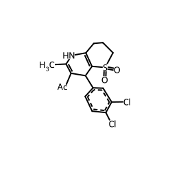 CC(=O)C1=C(C)NC2=C(C1c1ccc(Cl)c(Cl)c1)S(=O)(=O)CCC2